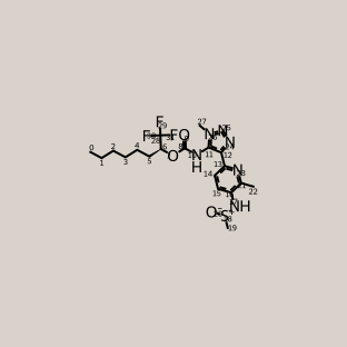 CCCCCC[C@H](OC(=O)Nc1c(-c2ccc(N[S+](C)[O-])c(C)n2)nnn1C)C(F)(F)F